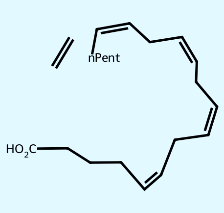 C=C.CCCCC/C=C\C/C=C\C/C=C\C/C=C\CCCC(=O)O